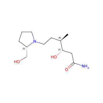 C[C@H](CCN1CCC[C@H]1CO)[C@@H](O)CC(N)=O